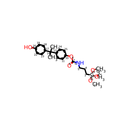 CO[Si](CCCNC(=O)Oc1ccc(C(C)(C)c2ccc(O)cc2)cc1)(OC)OC